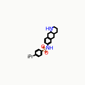 CC(C)c1ccc(S(=O)(=O)Nc2ccc3c(c2)CC2CCCNC2C3)cc1